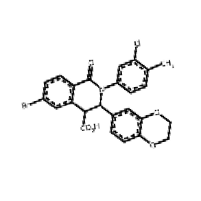 Cc1ccc(N2C(=O)c3ccc(Br)cc3C(C(=O)O)C2c2ccc3c(c2)OCCO3)cc1Cl